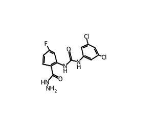 NNC(=O)c1ccc(F)cc1NC(=O)Nc1cc(Cl)cc(Cl)c1